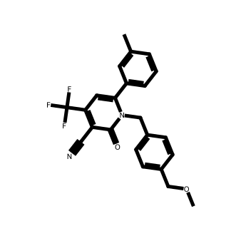 COCc1ccc(Cn2c(-c3cccc(C)c3)cc(C(F)(F)F)c(C#N)c2=O)cc1